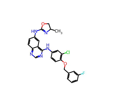 CC1COC(Nc2ccc3ncnc(Nc4ccc(OCc5cccc(F)c5)c(Cl)c4)c3c2)=N1